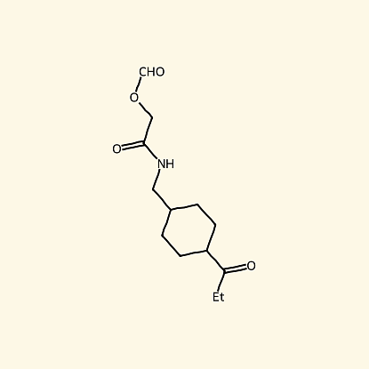 CCC(=O)C1CCC(CNC(=O)COC=O)CC1